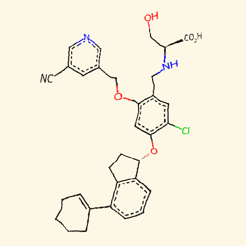 N#Cc1cncc(COc2cc(O[C@H]3CCc4c(C5=CCCCC5)cccc43)c(Cl)cc2CN[C@@H](CO)C(=O)O)c1